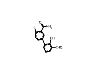 NC(=O)c1cc(-c2cccc(C=O)c2O)ccc1Cl